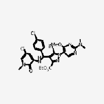 CCOC(=O)c1nn(-c2cnc(N(C)C)nc2OC)c(C(C)C)c1C(Nc1cc(Cl)cn(C)c1=O)c1ccc(Cl)cc1